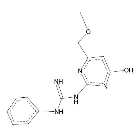 COCc1cc(O)nc(NC(=N)Nc2ccccc2)n1